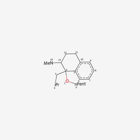 CCCCCOC1(CC(C)C)c2ccccc2CCC1NC